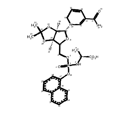 C[C@H](NP(=O)(OCC1O[C@@H](N2C=C(C(N)=O)C=CC2)[C@@H]2OC(C)(C)O[C@H]12)Oc1cccc2ccccc12)C(=O)O